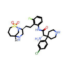 N[C@H](C(=O)Nc1cccc(F)c1CC[C@H]1CN[C@@H]2CCCS(=O)(=O)N1C2)C1(c2ccc(Cl)cc2)CCNCC1